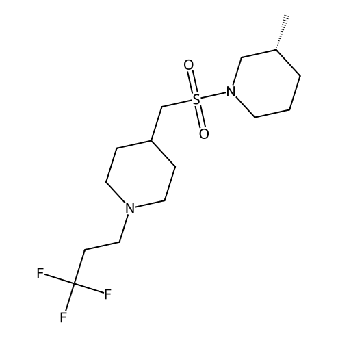 C[C@@H]1CCCN(S(=O)(=O)CC2CCN(CCC(F)(F)F)CC2)C1